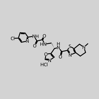 CN1CCc2nc(C(=O)N[C@@H](CNC(=O)C(=O)Nc3ccc(Cl)cn3)c3cnco3)sc2C1.Cl